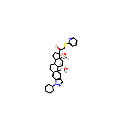 CC12Cc3cnn(C4CCCCC4)c3C=C1CCC1C2[C@@H](O)CC2(C)C1CC[C@]2(O)C(=O)CSc1ccccn1